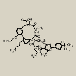 Cc1nc(-c2ccc(C(C)(C)C)cc2)nc(C)c1C(=O)N[C@@H](CCN)C(=O)N(C)[C@@H]1C(=O)N[C@@H](C)C(=O)N[C@H](C(=O)O)Cc2ccc(OCCN)c(c2)-c2cc1ccc2OCCN